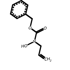 C=CCN(O)C(=O)OCc1ccccc1